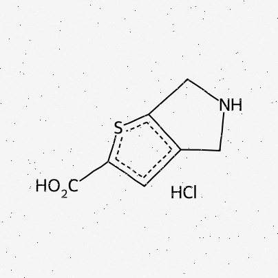 Cl.O=C(O)c1cc2c(s1)CNC2